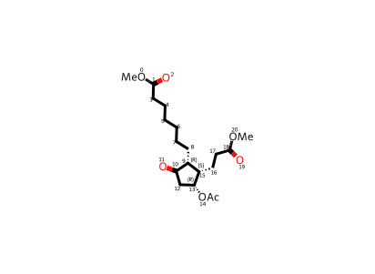 COC(=O)CCCCCC[C@H]1C(=O)C[C@@H](OC(C)=O)[C@H]1CCC(=O)OC